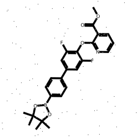 COC(=O)c1cccnc1Oc1c(F)cc(-c2ccc(B3OC(C)(C)C(C)(C)O3)cc2)cc1F